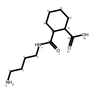 NCCCCNC(=O)C1CCCCC1C(=O)O